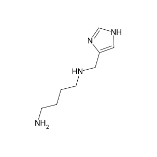 NCCCCNCc1c[nH]cn1